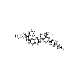 C=CC(=O)Nc1cccnc1-c1cccc2cnc(Nc3ccc(N4CCN(CC)CC4)nc3OC)nc12